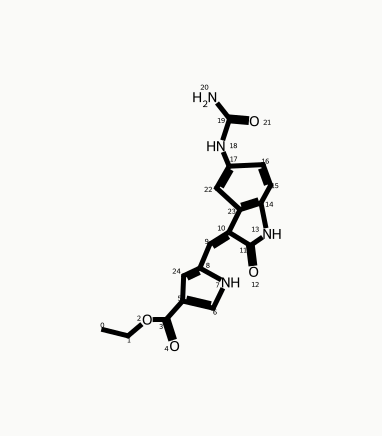 CCOC(=O)c1c[nH]c(C=C2C(=O)Nc3ccc(NC(N)=O)cc32)c1